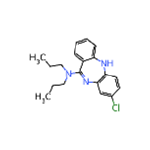 CCCN(CCC)C1=Nc2cc(Cl)ccc2Nc2ccccc21